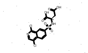 O=C(O)C[C@@H](NS(=O)(=O)c1ccc2c(Cl)cnc(Cl)c2c1)C(=O)O